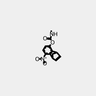 CNC(=O)Oc1ccc([N+](=O)[O-])c2c1C1C=CC2C1